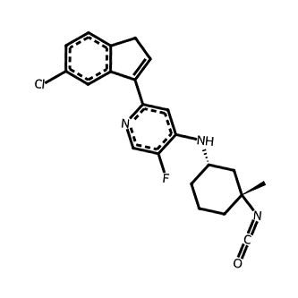 C[C@@]1(N=C=O)CCC[C@H](Nc2cc(C3=CCc4ccc(Cl)cc43)ncc2F)C1